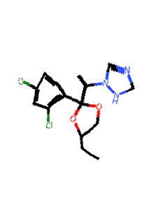 CCC1COC(c2ccc(Cl)cc2Cl)(C(C)N2C=NCN2)O1